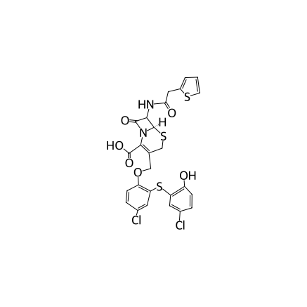 O=C(Cc1cccs1)NC1C(=O)N2C(C(=O)O)=C(COc3ccc(Cl)cc3Sc3cc(Cl)ccc3O)CS[C@H]12